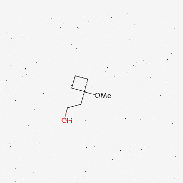 COC1(CCO)CCC1